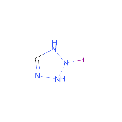 IN1NC=NN1